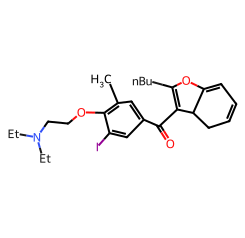 CCCCC1=C(C(=O)c2cc(C)c(OCCN(CC)CC)c(I)c2)C2CC=CC=C2O1